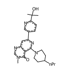 CCCC1CCN(c2nc(-c3ccc(C(C)(C)O)nc3)cc3ncn(C)c(=O)c23)CC1